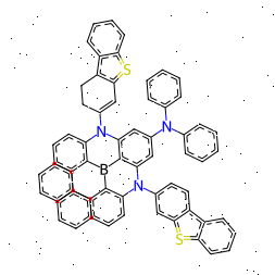 C1=C(N2c3cccc(-c4ccccc4)c3B3c4c(-c5ccccc5)cccc4N(c4ccc5c(c4)sc4ccccc45)c4cc(N(c5ccccc5)c5ccccc5)cc2c43)CCc2c1sc1ccccc21